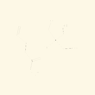 C=CCCC(=C)C(=O)O.CCC(CO)(CO)CO